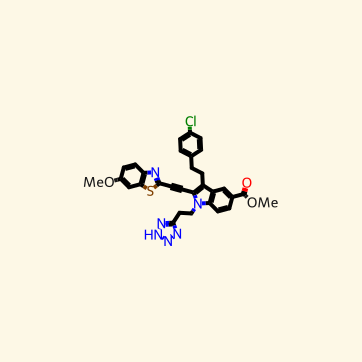 COC(=O)c1ccc2c(c1)c(CCc1ccc(Cl)cc1)c(C#Cc1nc3ccc(OC)cc3s1)n2CCc1nn[nH]n1